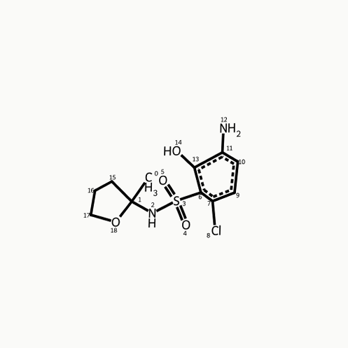 CC1(NS(=O)(=O)c2c(Cl)ccc(N)c2O)CCCO1